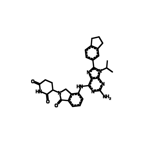 CC(C)n1c(-c2ccc3c(c2)CCC3)nc2c(Nc3cccc4c3CN(C3CCC(=O)NC3=O)C4=O)nc(N)nc21